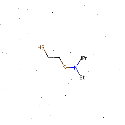 CCN(SCCS)C(C)C